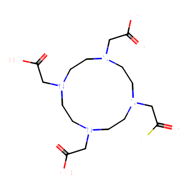 O=C(O)CN1CCN(CC(=O)O)CCN(CC(=O)S)CCN(CC(=O)O)CC1